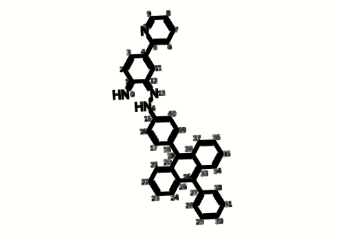 N=C1C=CC(c2ccccn2)=C/C1=N/Nc1ccc(-c2c3ccccc3c(-c3ccccc3)c3ccccc23)cc1